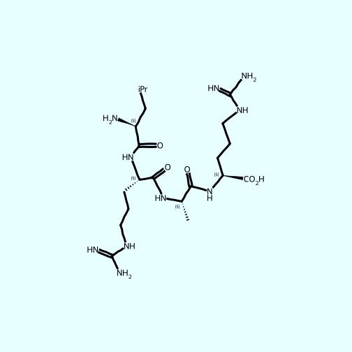 CC(C)C[C@H](N)C(=O)N[C@@H](CCCNC(=N)N)C(=O)N[C@@H](C)C(=O)N[C@@H](CCCNC(=N)N)C(=O)O